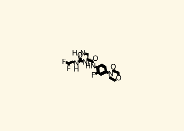 NC[C@H](NC(=O)NCC(F)F)C(=O)Nc1ccc(N2CCOCC2=O)cc1F